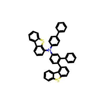 c1ccc(-c2ccc(N(c3ccc(-c4cccc5sc6ccccc6c45)c(-c4ccccc4)c3)c3cccc4c3sc3ccccc34)cc2)cc1